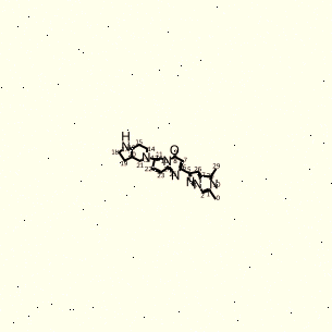 Cc1cn2nc(-c3cc(=O)n4cc(N5CCC6NCCC6C5)ccc4n3)cc2c(C)n1